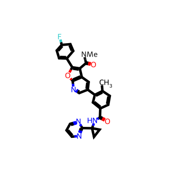 CNC(=O)c1c(-c2ccc(F)cc2)oc2ncc(-c3cc(C(=O)NC4(c5ncccn5)CC4)ccc3C)cc12